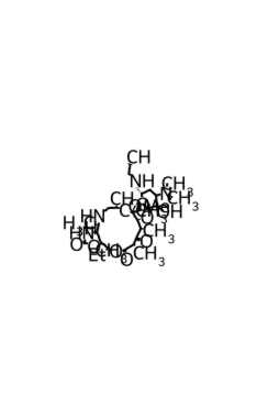 C#CCNC[C@@H]1CC(N(C)C)C(O)[C@H](O[C@@H]2[C@@H](C)C(=O)C(C)C(=O)O[C@@H](CC)[C@@]3(C)OC(=O)N[C@@H]3[C@@H](C)NC[C@H](C)C[C@@]2(C)OC)O1